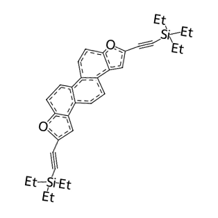 CC[Si](C#Cc1cc2c(ccc3c2ccc2c4cc(C#C[Si](CC)(CC)CC)oc4ccc23)o1)(CC)CC